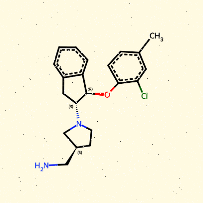 Cc1ccc(O[C@@H]2c3ccccc3C[C@H]2N2CC[C@@H](CN)C2)c(Cl)c1